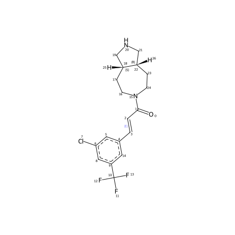 O=C(/C=C/c1cc(Cl)cc(C(F)(F)F)c1)N1CC[C@@H]2CNC[C@@H]2CC1